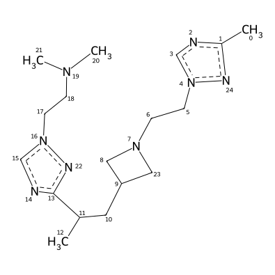 Cc1ncn(CCN2CC(CC(C)c3ncn(CCN(C)C)n3)C2)n1